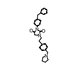 O=C1CN(CCc2ccc(CN3CCCC3)cc2)C(=O)N1c1ccc(Cc2ccccc2)cc1